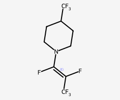 F/C(=C(/F)C(F)(F)F)N1CCC(C(F)(F)F)CC1